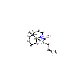 C=CCSC(=O)N1CCC[C@H]2CCCC[C@H]21